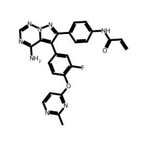 C=CC(=O)Nc1ccc(-c2nn3ncnc(N)c3c2-c2ccc(Oc3ccnc(C)n3)c(F)c2)cc1